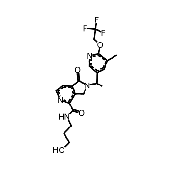 Cc1cc(C(C)N2Cc3c(ccnc3C(=O)NCCCO)C2=O)cnc1OCC(F)(F)F